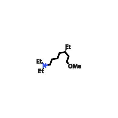 CC[C@@H](CCCCN(CC)CC)CCOC